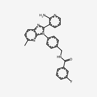 Cc1ccc2nc(-c3cccnc3N)n(-c3ccc(CNC(=O)c4cccc(F)c4)cc3)c2n1